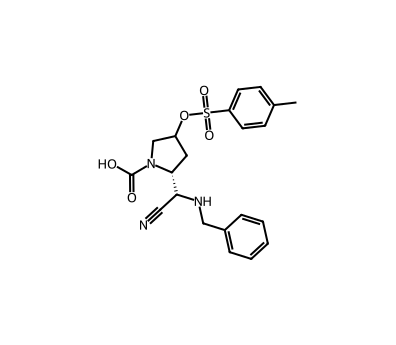 Cc1ccc(S(=O)(=O)OC2C[C@H](C(C#N)NCc3ccccc3)N(C(=O)O)C2)cc1